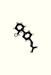 CC(C)/C=C/c1ccc(-c2ccccc2Cl)cc1